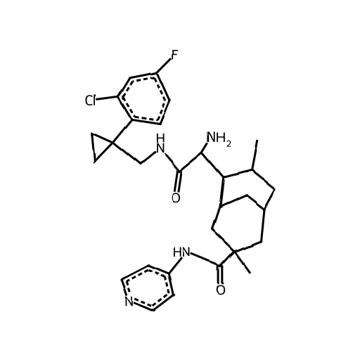 CC1CC2CC(CC(C)(C(=O)Nc3ccncc3)C2)C1C(N)C(=O)NCC1(c2ccc(F)cc2Cl)CC1